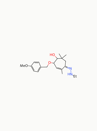 CCNN=C1CC(C)(C)C(O)C(OCc2ccc(OC)cc2)C=C1C